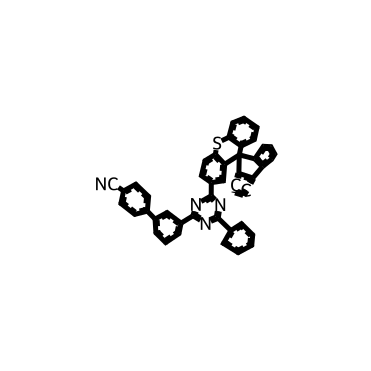 N#Cc1ccc(-c2cccc(-c3nc(-c4ccccc4)nc(-c4ccc5c(c4)C4(c6ccccc6S5)c5ccccc5-c5ccccc54)n3)c2)cc1